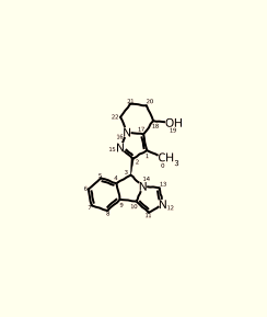 Cc1c([C@@H]2c3ccccc3-c3cncn32)nn2c1C(O)CCC2